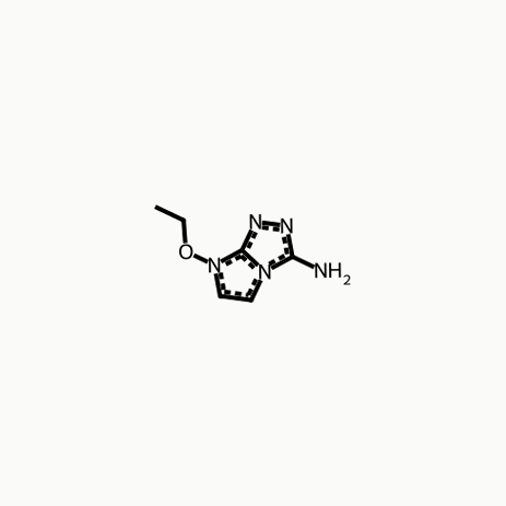 CCOn1ccn2c(N)nnc12